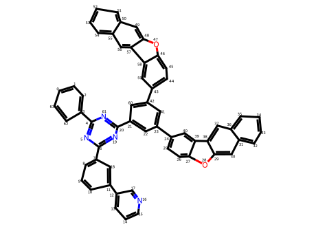 c1ccc(-c2nc(-c3cccc(-c4cccnc4)c3)nc(-c3cc(-c4ccc5oc6cc7ccccc7cc6c5c4)cc(-c4ccc5oc6cc7ccccc7cc6c5c4)c3)n2)cc1